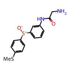 CSc1ccc([S+]([O-])c2cccc(NC(=O)CN)c2)cc1